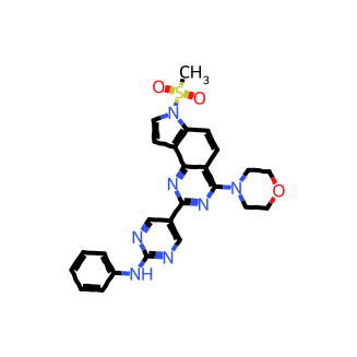 CS(=O)(=O)n1ccc2c3nc(-c4cnc(Nc5ccccc5)nc4)nc(N4CCOCC4)c3ccc21